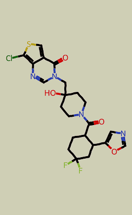 O=C(C1CCC(F)(F)CC1c1cnco1)N1CCC(O)(Cn2cnc3c(Cl)scc3c2=O)CC1